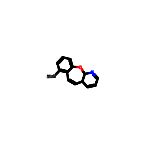 COc1cccc2c1C=CC1C=CC=NC1O2